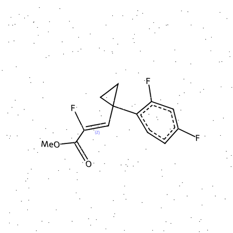 COC(=O)/C(F)=C/C1(c2ccc(F)cc2F)CC1